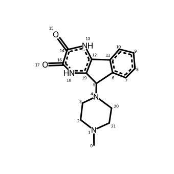 CN1CCN(C2c3ccccc3-c3[nH]c(=O)c(=O)[nH]c32)CC1